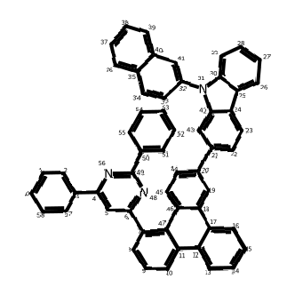 c1ccc(-c2cc(-c3cccc4c5ccccc5c5cc(-c6ccc7c8ccccc8n(-c8ccc9ccccc9c8)c7c6)ccc5c34)nc(-c3ccccc3)n2)cc1